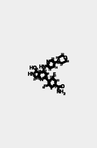 NC(=O)c1cc(F)c(-c2cc(Nc3ccc(N4CCOCC4)cn3)c3c(n2)CNC3O)c(F)c1